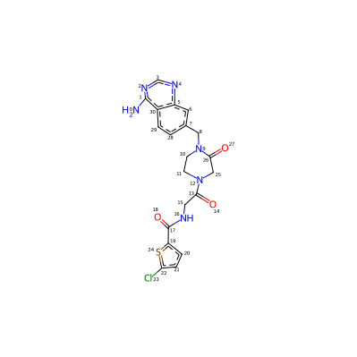 Nc1ncnc2cc(CN3CCN(C(=O)CNC(=O)c4ccc(Cl)s4)CC3=O)ccc12